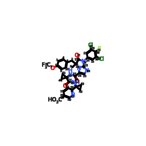 CC1(Cc2ccc(OC(F)(F)F)cc2)C(=O)N(c2cc(Cl)c(F)c(Cl)c2)c2ncc(C(=O)NC3(C(=O)NC4(c5ccc(C(=O)O)cn5)CC4)CC3)n21